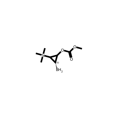 B[C@H]1C(OC(=O)OC)C1[Si](C)(C)C